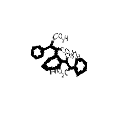 O=C(O)C(c1ccccc1)C(C(=O)O)c1ccccc1C(C(=O)O)C(C(=O)O)c1ccccc1